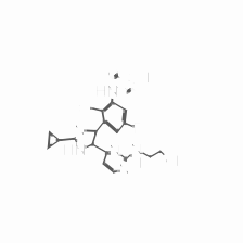 CCCNc1nccc(C2NC(C3CC3)=NC2c2cc(F)cc(NS(C)(=O)=O)c2Cl)n1